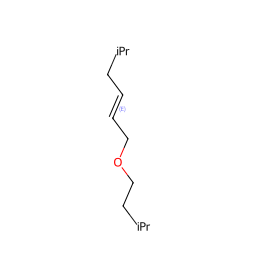 CC(C)C/C=C/COCCC(C)C